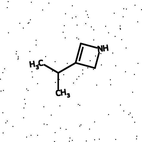 CC(C)C1=CNC1